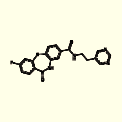 O=C(NCCc1cncnc1)c1ccc2c(c1)NC(=O)c1ccc(F)cc1S2